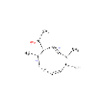 CC(=O)C1/C=C/C(C)C(C)/C=C\C/C=C\1C